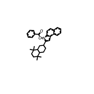 CC1(C)CCC(C)(C)C2CC(c3cc4c5ccccc5ccc4n3OC(=O)c3ccccc3)CCC21